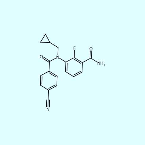 N#Cc1ccc(C(=O)N(CC2CC2)c2cccc(C(N)=O)c2F)cc1